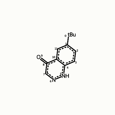 CC(C)(C)c1ccc2[nH]ncc(=O)c2c1